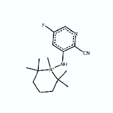 CC1(C)CCCC(C)(C)[N+]1(C)Nc1cc(F)cnc1C#N